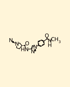 CNC(=O)c1ccc(-n2cnc(NC(=O)[C@H]3CCN(C#N)C3)c2)cc1